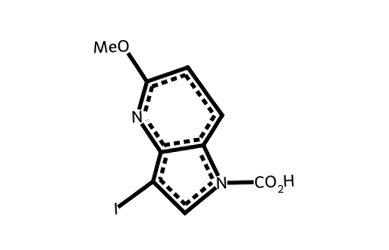 COc1ccc2c(n1)c(I)cn2C(=O)O